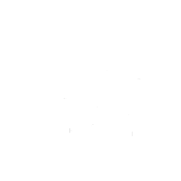 CCOC(=O)c1c(C(=O)O)c(C(=O)O)c(C(=O)O)c2ccccc12